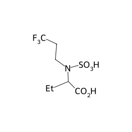 CCC(C(=O)O)N(CCC(F)(F)F)S(=O)(=O)O